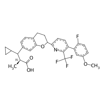 COc1ccc(F)c(-c2ccc(C3CCc4ccc(C(C5CC5)[C@H](C)C(=O)O)cc4O3)nc2C(F)(F)F)c1